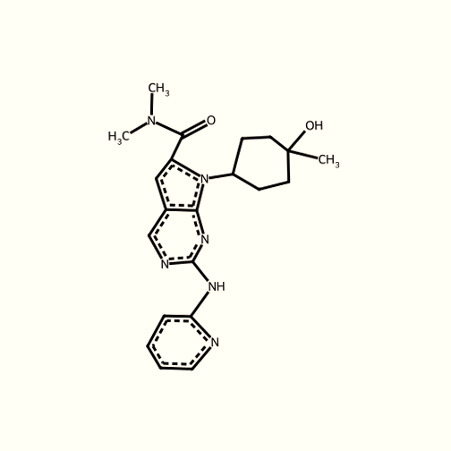 CN(C)C(=O)c1cc2cnc(Nc3ccccn3)nc2n1C1CCC(C)(O)CC1